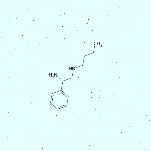 CCCCNC[C@@H](N)c1ccccc1